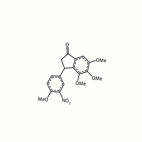 COc1ccc(C2CC(=O)c3cc(OC)c(OC)c(OC)c32)cc1[N+](=O)[O-]